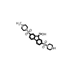 CN1CCN(S(=O)(=O)c2ccc3c(c2)/C(=N/O)c2cc(S(=O)(=O)N4CCNCC4)ccc2-3)CC1